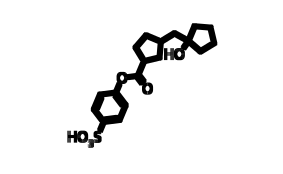 O=C(Oc1ccc(S(=O)(=O)O)cc1)C1CCC(CC2(O)CCCC2)C1